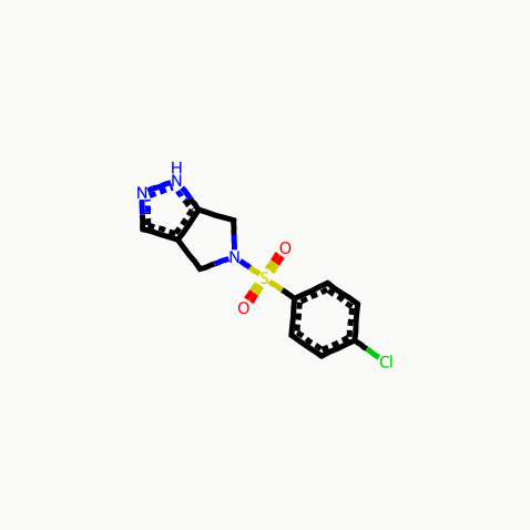 O=S(=O)(c1ccc(Cl)cc1)N1Cc2cn[nH]c2C1